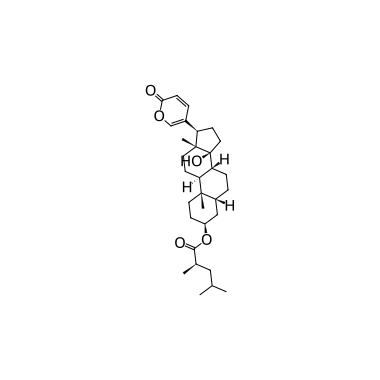 CC(C)C[C@@H](C)C(=O)O[C@H]1CC[C@@]2(C)[C@H](CC[C@@H]3[C@@H]2CC[C@]2(C)[C@@H](c4ccc(=O)oc4)CC[C@]32O)C1